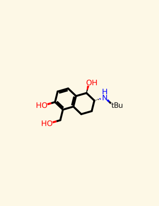 CC(C)(C)N[C@@H]1CCc2c(ccc(O)c2CO)[C@H]1O